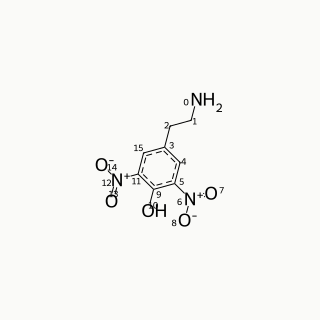 NCCc1cc([N+](=O)[O-])c(O)c([N+](=O)[O-])c1